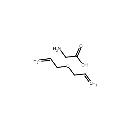 C=CCOCC=C.NCC(=O)O